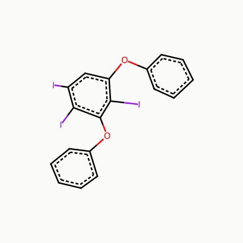 Ic1cc(Oc2ccccc2)c(I)c(Oc2ccccc2)c1I